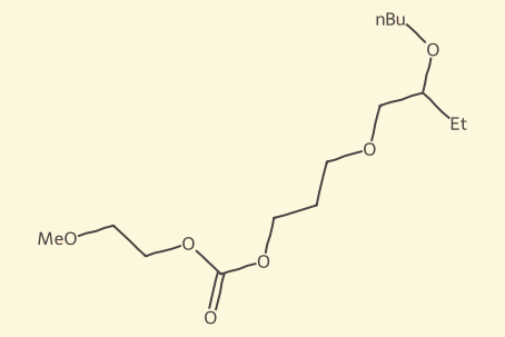 CCCCOC(CC)COCCCOC(=O)OCCOC